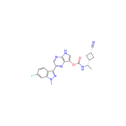 CC(NC(=O)Oc1c[nH]c2ncc(-c3nn(C)c4cc(F)ccc34)nc12)[C@H]1C[C@@H](C#N)C1